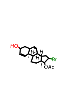 CC(=O)OC1C(Br)C[C@H]2[C@@H]3C=CC4CC(O)C=C[C@]4(C)[C@@H]3CC[C@]12C